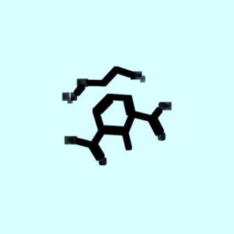 BBCCB.Cc1c(C(=O)O)cccc1C(=O)O